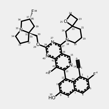 C#Cc1c(F)ccc2cc(O)cc(-c3ncc4c(N5CCCC6(CCO6)C5)nc(OC[C@@]56CCCN5C[C@H](F)C6)nc4c3F)c12